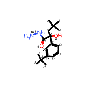 CC(C)(C)CC(O)(C(=O)NN)c1cccc(C(C)(C)C)c1